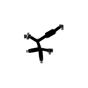 CCC#CC(C)S(=O)(=O)O